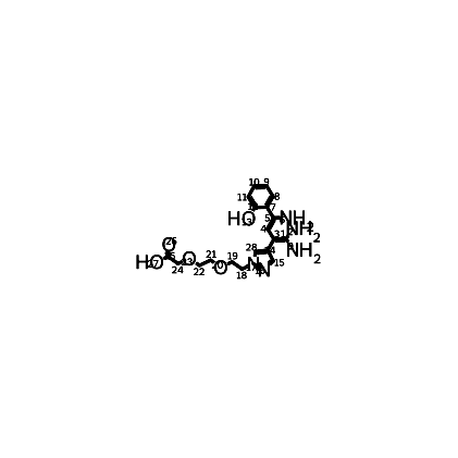 NC(N)=C(/C=C(\N)c1ccccc1O)c1cnn(CCOCCOCC(=O)O)c1